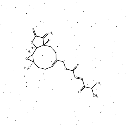 C=C1C(=O)O[C@H]2[C@H]1CC/C(COC(=O)/C=C/C(=O)C(C)C)=C\CC[C@@]1(C)O[C@@H]21